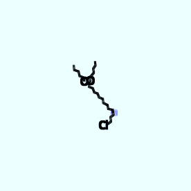 CCCCCOC(CCCCCCCCC/C=C\CCCl)OCCCCC